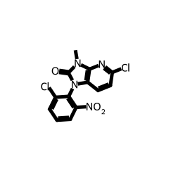 Cn1c(=O)n(-c2c(Cl)cccc2[N+](=O)[O-])c2ccc(Cl)nc21